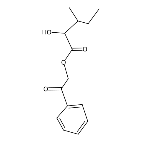 CCC(C)C(O)C(=O)OCC(=O)c1ccccc1